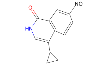 O=Nc1ccc2c(C3CC3)c[nH]c(=O)c2c1